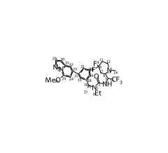 CCN(C(=O)NC(C1CC(F)(F)CCN1C)C(F)(F)F)[C@H](C)c1cccc(-c2cc(OC)n3nccc3c2)c1